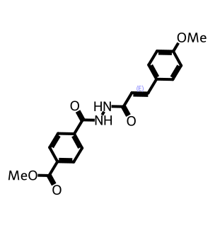 COC(=O)c1ccc(C(=O)NNC(=O)/C=C/c2ccc(OC)cc2)cc1